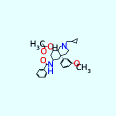 COc1cccc([C@@]23CCN(CC4CC4)C[C@H]2C(OC(C)=O)C[C@H](NC(=O)c2ccccc2)C3)c1